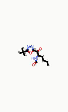 CCCCC(NC=O)C(=O)c1nnc(C(C)(C)C)o1